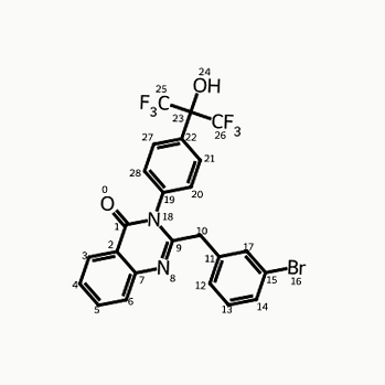 O=c1c2ccccc2nc(Cc2cccc(Br)c2)n1-c1ccc(C(O)(C(F)(F)F)C(F)(F)F)cc1